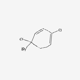 CC(C)C1(Cl)C=CC(Cl)=CC1